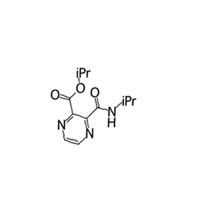 CC(C)NC(=O)c1nccnc1C(=O)OC(C)C